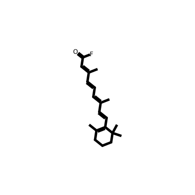 CC1=C(/C=C/C(C)=C/C=C/C(C)=C/C(=O)F)C(C)(C)CCC1